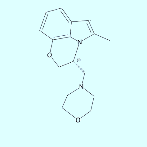 Cc1[c]c2cccc3c2n1[C@H](CN1CCOCC1)CO3